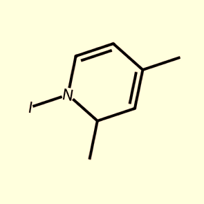 CC1=CC(C)N(I)C=C1